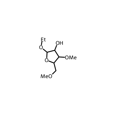 CCOC1OC(COC)C(OC)C1O